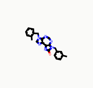 Cc1cccc(Cn2c3ncnc4c(ncn4Cc4ccccc4C)c-3nc2=O)c1